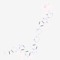 COc1ncc(-c2ccnc(N3CCc4c(sc5c4CCCC5)C3=O)c2CO)cc1Nc1ccc(N2CCN(C3CCN(c4ccc5c(c4)C(=O)N([C@H]4CCC(=O)N(COP(=O)(O)O)C4=O)C5=O)[C@H](C)C3)C[C@@H]2C)cn1